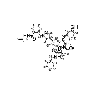 C#CCNC(=O)c1ccccc1Cn1ncc2c(CN3C[C@H]4N(C(=O)CN(C)N4C(=O)NCc4ccccc4)[C@@H](Cc4ccc(O)cc4)C3=O)cccc21